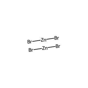 [Br][Zn][Br].[Br][Zn][Br]